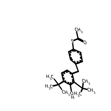 CC(=O)Sc1ccc(Cc2ccc(C(C)(C)C)c(O)c2C(C)(C)C)cc1